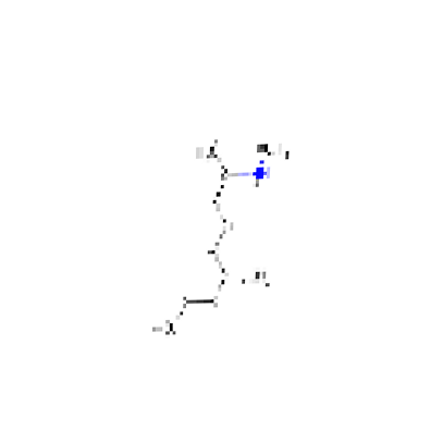 [CH2]CCC(C)CCCC(C)NC